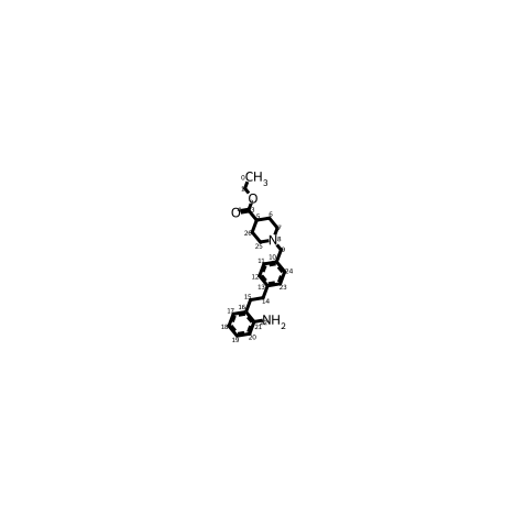 CCOC(=O)C1CCN(Cc2ccc(CCc3ccccc3N)cc2)CC1